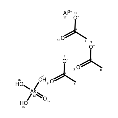 CC(=O)[O-].CC(=O)[O-].CC(=O)[O-].O=[As](O)(O)O.[Al+3]